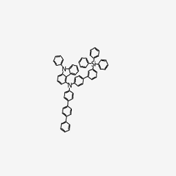 c1ccc(-c2ccc(-c3ccc(N(c4ccc(-c5cccc([Si](c6ccccc6)(c6ccccc6)c6ccccc6)c5)cc4)c4cccc5c4c4ccccc4n5-c4ccccc4)cc3)cc2)cc1